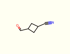 N#CC1CC(C=O)C1